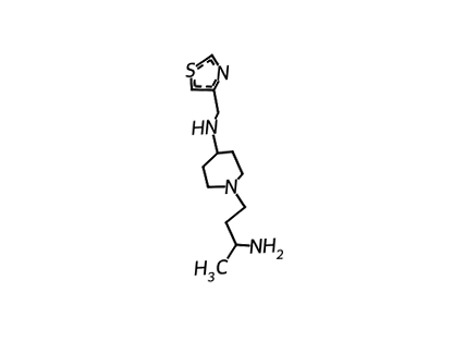 CC(N)CCN1CCC(NCc2cscn2)CC1